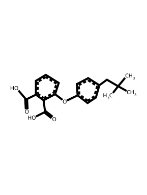 CC(C)(C)Cc1ccc(Oc2cccc(C(=O)O)c2C(=O)O)cc1